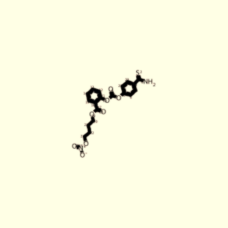 NC(=S)c1ccc(OC(=O)Oc2ccccc2C(=O)OCCCCO[N+](=O)[O-])cc1